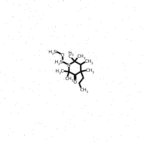 CCCC1(C)C(=O)C(C)(C)N([SiH2]O[SiH3])C(C)(C)C1C